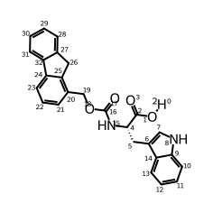 [2H]OC(=O)[C@H](Cc1c[nH]c2ccccc12)NC(=O)OCc1cccc2c1Cc1ccccc1-2